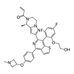 C=CC(=O)N1CCn2nc(-c3nc(-c4ccc(OC5CN(C)C5)cc4)c4ccsc4c3-c3c(F)cc(F)cc3OCCO)cc2[C@H]1C